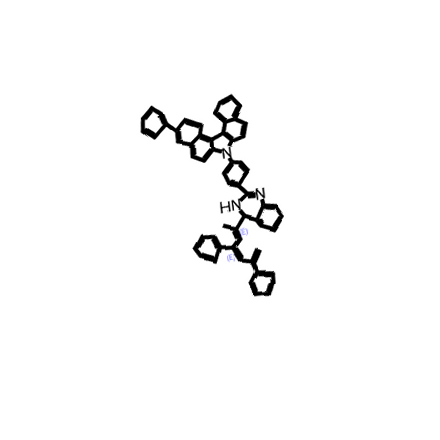 C=C(/C=C(\C=C(/C)C1NC(c2ccc(-n3c4ccc5ccccc5c4c4c5ccc(-c6ccccc6)cc5ccc43)cc2)=Nc2ccccc21)c1ccccc1)c1ccccc1